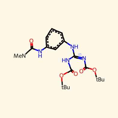 CNC(=O)Nc1cccc(N/C(=N/C(=O)OC(C)(C)C)NC(=O)OC(C)(C)C)c1